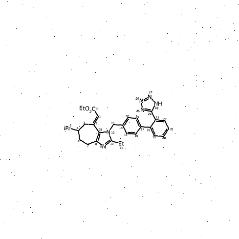 CCOC(=O)C=C1CC(C(C)C)CCc2nc(CC)n(Cc3ccc(-c4ccccc4-c4nnn[nH]4)cc3)c21